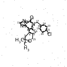 CC1(C)Cc2c(sc3c2c2ncnn2c(=O)n3Cc2ccc(Cl)cc2)CO1